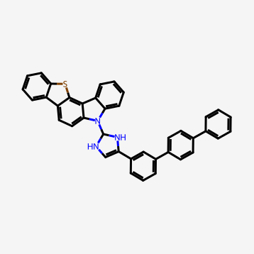 C1=C(c2cccc(-c3ccc(-c4ccccc4)cc3)c2)NC(n2c3ccccc3c3c4sc5ccccc5c4ccc32)N1